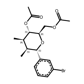 CC(=O)OC[C@H]1O[C@H](c2cccc(Br)c2)[C@@H](C)[C@@H](C)[C@@H]1OC(C)=O